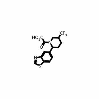 O=C(O)C(=O)N1CC(C(F)(F)F)CCC1c1ccc2scnc2c1